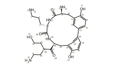 NCCC[C@@H]1NC(=O)[C@@H](N)Cc2cc(ccc2O)-c2ccc(O)c(c2)C[C@@H](C(=O)N(CCN)CCO)NC1=O